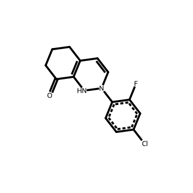 O=C1CCCC2=C1NN(c1ccc(Cl)cc1F)C=C2